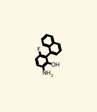 Nc1ccc(F)c(-c2cccc3ccccc23)c1O